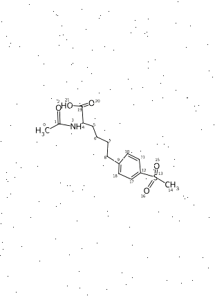 CC(=O)NC(CCCCc1ccc(S(C)(=O)=O)cc1)C(=O)O